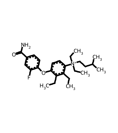 CCc1c(Oc2ccc(C(N)=O)cc2F)ccc([N+](CC)(CC)CCC(C)C)c1CC